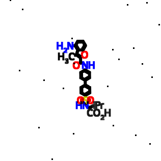 Cc1c(C(=O)Nc2ccc(-c3ccc(S(=O)(=O)NC(C(=O)O)C(C)C)cc3)cc2)oc2cccc(N)c12